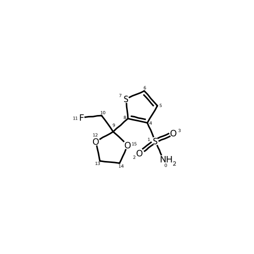 NS(=O)(=O)c1ccsc1C1(CF)OCCO1